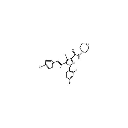 CC(=Cc1ccc(Cl)cc1)c1c(C)c(C(=O)NN2CCOCC2)nn1-c1ccc(F)cc1F